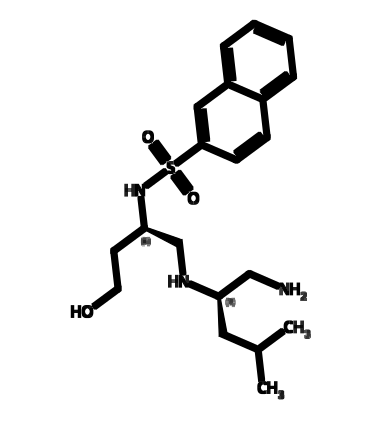 CC(C)C[C@H](CN)NC[C@@H](CCO)NS(=O)(=O)c1ccc2ccccc2c1